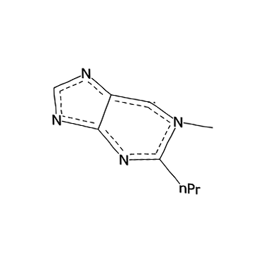 CCCc1nc2ncnc-2[c]n1C